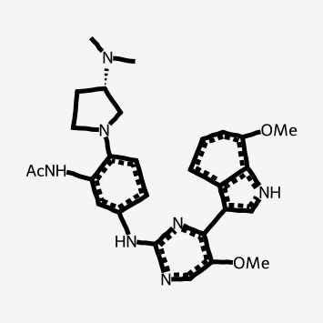 COc1cnc(Nc2ccc(N3CC[C@H](N(C)C)C3)c(NC(C)=O)c2)nc1-c1c[nH]c2c(OC)cccc12